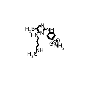 Bc1cnc(Nc2ccc(S(N)(=O)=O)cc2)nc1NCCCCNC